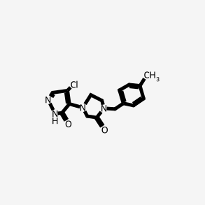 Cc1ccc(CN2CCN(c3c(Cl)cn[nH]c3=O)CC2=O)cc1